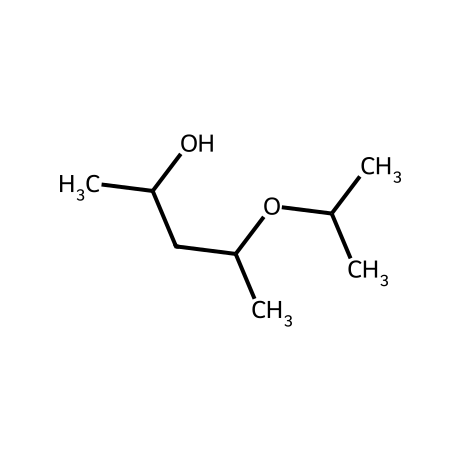 CC(O)CC(C)OC(C)C